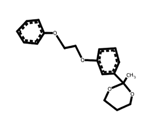 CC1(c2cccc(OCCOc3ccccc3)c2)OCCCO1